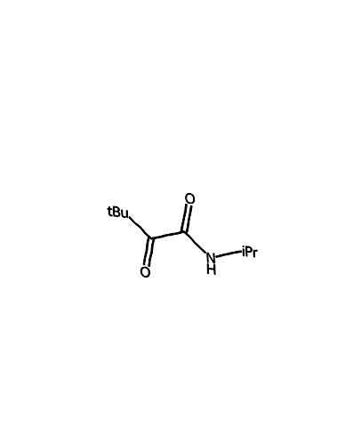 CC(C)NC(=O)C(=O)C(C)(C)C